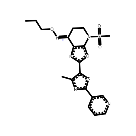 CCCO/N=C1\CCN(S(C)(=O)=O)c2oc(-c3sc(-c4cccnc4)nc3C)nc21